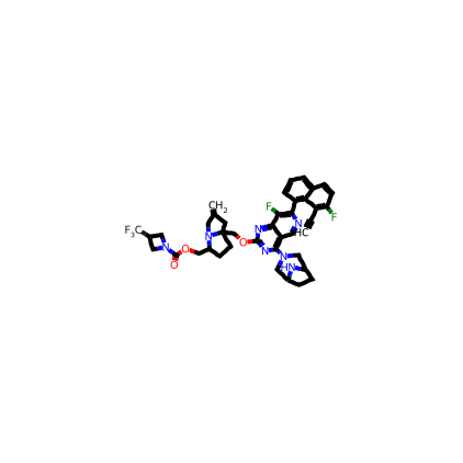 C#Cc1c(F)ccc2cccc(-c3ncc4c(N5CC6CCC(C5)N6)nc(OCC56CCC(COC(=O)N7CC(C(F)(F)F)C7)N5CC(=C)C6)nc4c3F)c12